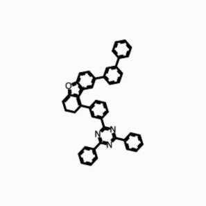 C1=c2oc3ccc(-c4cccc(-c5ccccc5)c4)cc3c2=C(c2cccc(-c3nc(-c4ccccc4)nc(-c4ccccc4)n3)c2)CC1